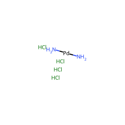 Cl.Cl.Cl.Cl.[NH2][Pd][NH2]